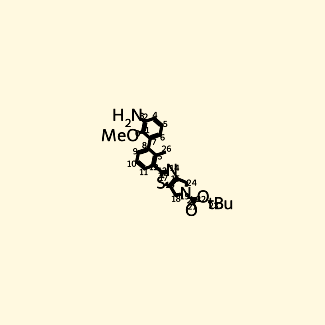 COc1c(N)cccc1-c1cccc(-c2nc3c(s2)CN(C(=O)OC(C)(C)C)C3)c1C